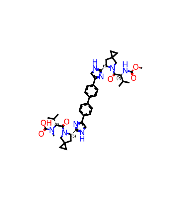 COC(=O)N[C@@H](C(=O)N1CC2(CC2)C[C@H]1c1nc(-c2ccc(-c3ccc(-c4c[nH]c([C@@H]5CC6(CC6)CN5C(=O)[C@@H](C(C)C)N(C)C(=O)O)n4)cc3)cc2)c[nH]1)C(C)C